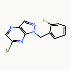 Fc1ccccc1Cn1ncc2ncc(Cl)nc21